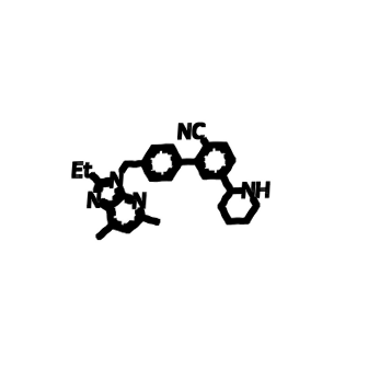 CCc1nc2c(C)cc(C)nc2n1Cc1ccc(-c2cc(C3CCCCN3)ccc2C#N)cc1